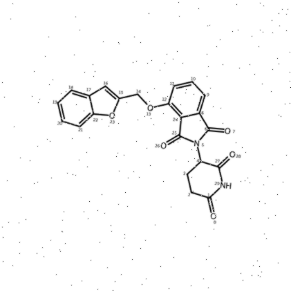 O=C1CCC(N2C(=O)c3cccc(OCc4cc5ccccc5o4)c3C2=O)C(=O)N1